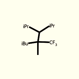 CCC(C)C(C)(C(C(C)C)C(C)C)C(F)(F)F